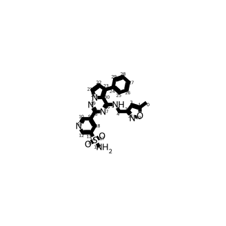 Cc1cc(CNc2nc(-c3cncc(S(N)(=O)=O)c3)nn3ccc(-c4ccccc4)c23)no1